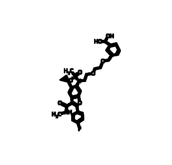 CNC(=O)c1c(-c2ccc(F)cc2)oc2cc(N(CCOCCOCc3cccc(C(O)O)c3)S(C)(=O)=O)c(C3CC3)cc12